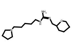 NC(=NCC1CCCCO1)NCCCCCN1CCCC1